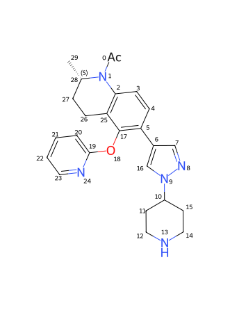 CC(=O)N1c2ccc(-c3cnn(C4CCNCC4)c3)c(Oc3ccccn3)c2CC[C@@H]1C